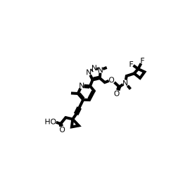 Cc1nc(-c2nnn(C)c2COC(=O)N(C)CC2CCC2(F)F)ccc1C#CC1(CC(=O)O)CC1